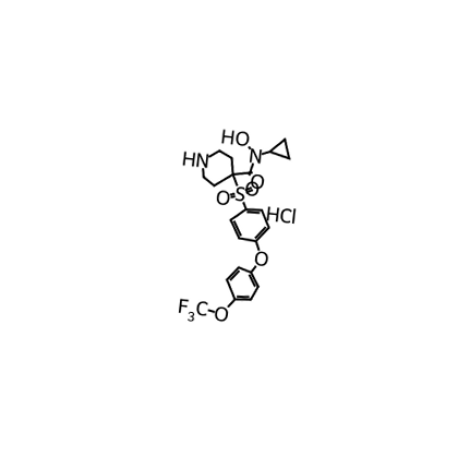 Cl.O=C(N(O)C1CC1)C1(S(=O)(=O)c2ccc(Oc3ccc(OC(F)(F)F)cc3)cc2)CCNCC1